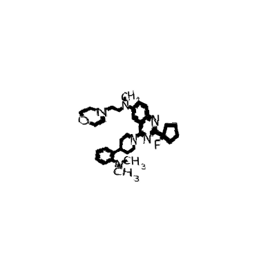 CN(C)c1ccccc1C1CCN(c2nc(C3(F)CCCC3)nc3ccc(N(C)CCN4CCOCC4)cc23)CC1